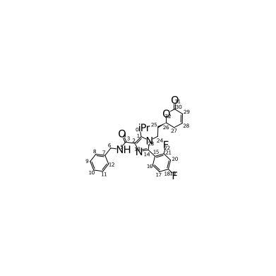 CC(C)c1c(C(=O)NCc2ccccc2)nc(-c2ccc(F)cc2F)n1CC[C@@H]1CC=CC(=O)O1